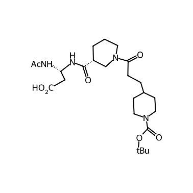 CC(=O)N[C@@H](CC(=O)O)NC(=O)[C@@H]1CCCN(C(=O)CCC2CCN(C(=O)OC(C)(C)C)CC2)C1